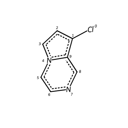 Clc1ccn2ccncc12